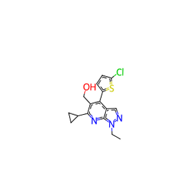 CCn1ncc2c(-c3ccc(Cl)s3)c(CO)c(C3CC3)nc21